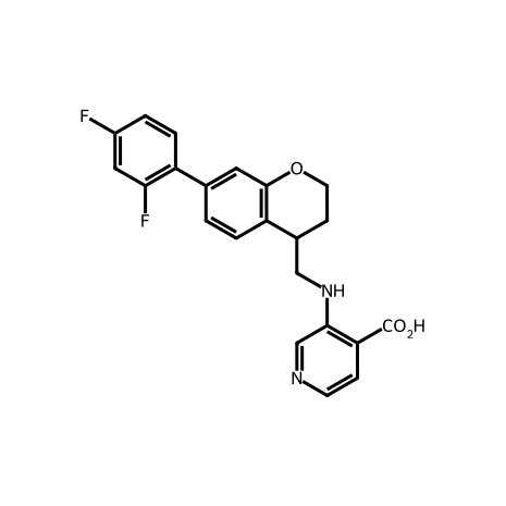 O=C(O)c1ccncc1NCC1CCOc2cc(-c3ccc(F)cc3F)ccc21